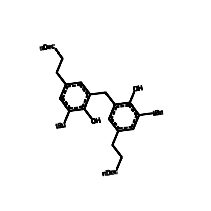 CCCCCCCCCCCCc1cc(Cc2cc(CCCCCCCCCCCC)cc(C(C)(C)C)c2O)c(O)c(C(C)(C)C)c1